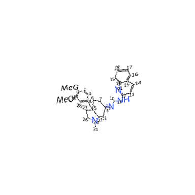 COc1ccc(C23CC/C(=N\CNc4ccc5ccccc5n4)CC2N(C)CC3)cc1OC